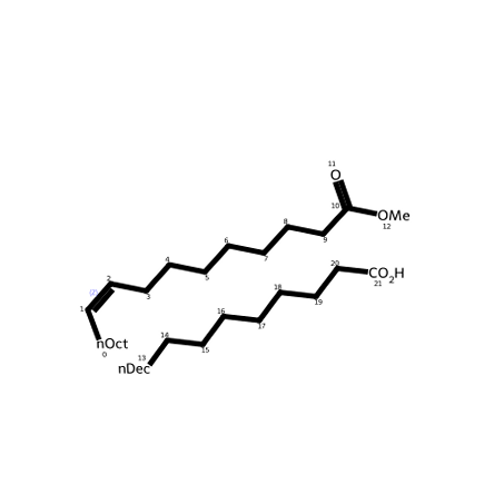 CCCCCCCC/C=C\CCCCCCCC(=O)OC.CCCCCCCCCCCCCCCCCC(=O)O